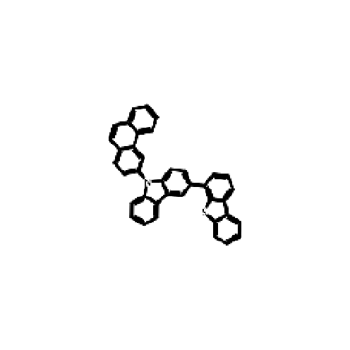 c1ccc2c(c1)ccc1ccc(-n3c4ccccc4c4cc(-c5cccc6c5sc5ccccc56)ccc43)cc12